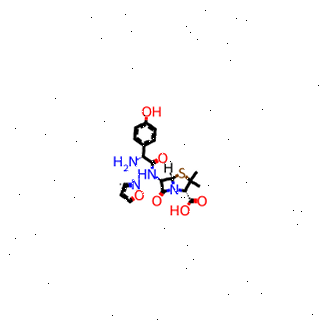 CC1(C)S[C@@H]2[C@H](NC(=O)[C@H](N)c3ccc(O)cc3)C(=O)N2[C@H]1C(=O)O.[c]1ccon1